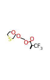 C=C(C(=O)OCCOC1CSCCO1)C(F)(F)F